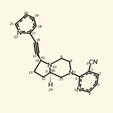 N#Cc1cccnc1N1CCN2[C@H](CC[C@H]2C#Cc2ccccn2)C1